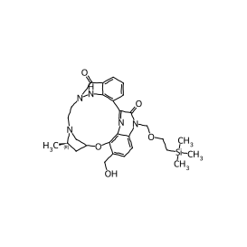 C[C@@H]1CC2CN1CCn1[nH]c3c(cccc3c1=O)-c1nc3c(c(CO)ccc3n(COCC[Si](C)(C)C)c1=O)O2